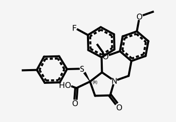 COc1ccc(CN2C(=O)C[C@](Sc3ccc(C)cc3)(C(=O)O)C2c2cccc(F)c2)c(OC)c1